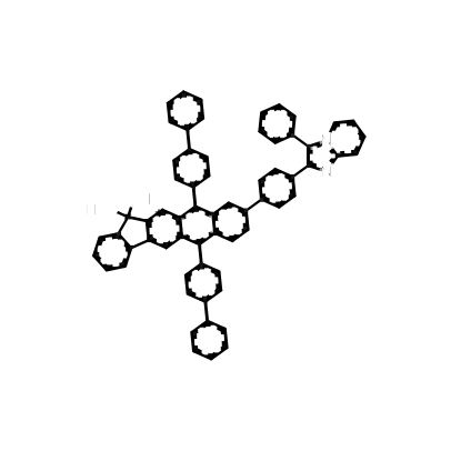 CC1(C)c2ccccc2-c2cc3c(-c4ccc(-c5ccccc5)cc4)c4ccc(-c5ccc(-c6nc7ccccn7c6-c6ccccc6)cc5)cc4c(-c4ccc(-c5ccccc5)cc4)c3cc21